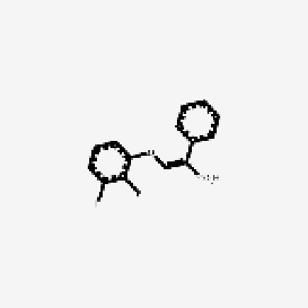 O=C(O)C(=COc1cccc(F)c1F)c1ccccc1